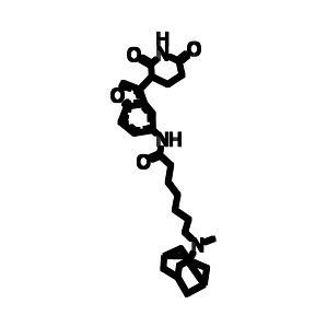 CN(CCCCCCC(=O)Nc1ccc2occ(C3CCC(=O)NC3=O)c2c1)C12CC3CC(CC(C3)C1)C2